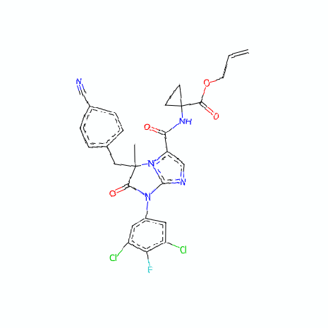 C=CCOC(=O)C1(NC(=O)c2cnc3n2C(C)(Cc2ccc(C#N)cc2)C(=O)N3c2cc(Cl)c(F)c(Cl)c2)CC1